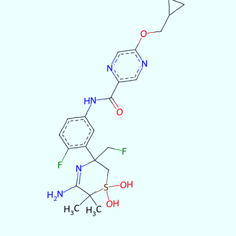 CC1(C)C(N)=NC(CF)(c2cc(NC(=O)c3cnc(OCC4CC4)cn3)ccc2F)CS1(O)O